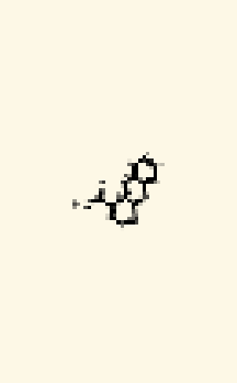 O=C(O)c1cccc2cc3ccccc3cc12